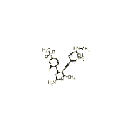 C=C(/C=C\C(C#Cc1c(C)nc(N)nc1-c1ccc(S(C)(=O)=O)cc1F)=C/N)NC